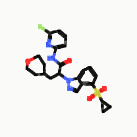 O=C(Nc1cccc(F)n1)C(CC1CCOCC1)n1ncc2c(S(=O)(=O)C3CC3)cccc21